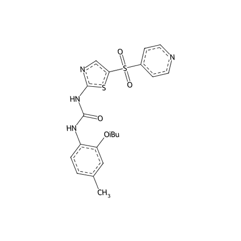 Cc1ccc(NC(=O)Nc2ncc(S(=O)(=O)c3ccncc3)s2)c(OCC(C)C)c1